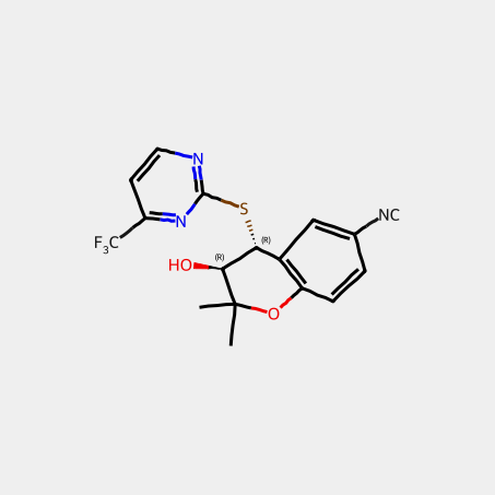 [C-]#[N+]c1ccc2c(c1)[C@@H](Sc1nccc(C(F)(F)F)n1)[C@H](O)C(C)(C)O2